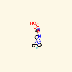 O=C(O)Oc1cc(-c2ccc(NCC3(c4ncccc4F)CCC3)nn2)on1